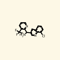 NC(c1cnc2c(Cl)cccc2c1)c1ncccc1C(F)(F)F